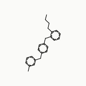 CCCCc1ccccc1Cc1ccc(Cc2cccc(C)c2)cc1